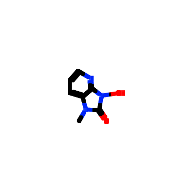 Cn1c(=O)n(O)c2ncccc21